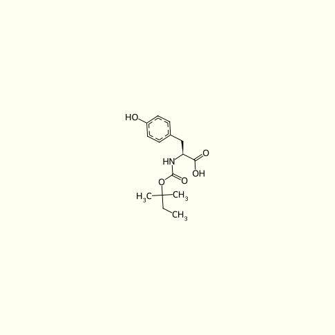 CCC(C)(C)OC(=O)N[C@@H](Cc1ccc(O)cc1)C(=O)O